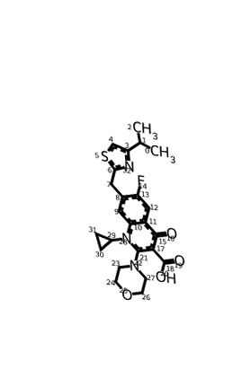 CC(C)c1csc(Cc2cc3c(cc2F)c(=O)c(C(=O)O)c(N2CCOCC2)n3C2CC2)n1